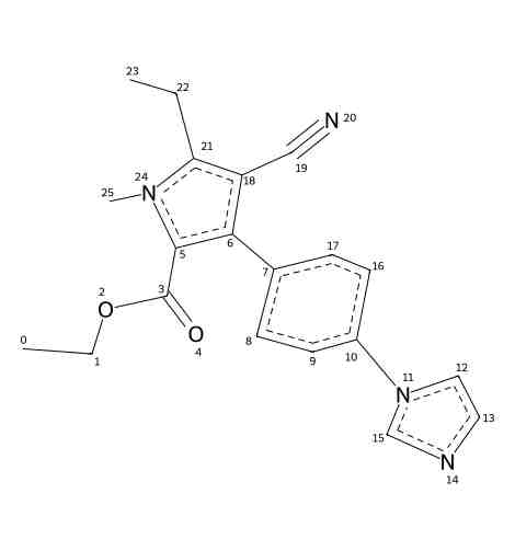 CCOC(=O)c1c(-c2ccc(-n3ccnc3)cc2)c(C#N)c(CC)n1C